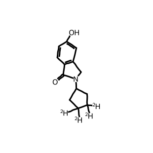 [2H]C1([2H])CC(N2Cc3cc(O)ccc3C2=O)CC1([2H])[2H]